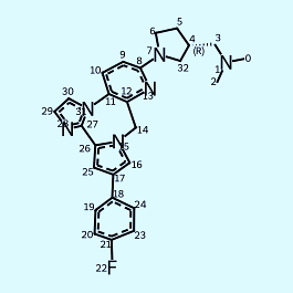 CN(C)C[C@H]1CCN(c2ccc3c(n2)Cn2cc(-c4ccc(F)cc4)cc2-c2nccn2-3)C1